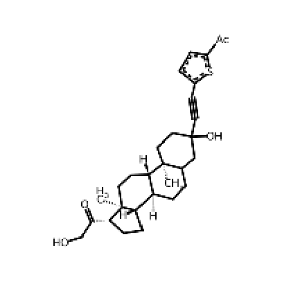 CC(=O)c1ccc(C#CC2(O)CC[C@@]3(C)C(CC[C@H]4[C@@H]5CC[C@H](C(=O)CO)[C@@]5(C)CC[C@@H]43)C2)s1